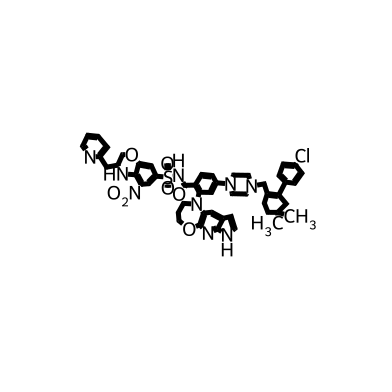 CC1(C)CCC(CN2CCN(c3ccc(C(=O)NS(=O)(=O)c4cc5c(c([N+](=O)[O-])c4)NC(Cc4ccccn4)CO5)c(N4CCCOc5nc6[nH]ccc6cc54)c3)CC2)=C(c2ccc(Cl)cc2)C1